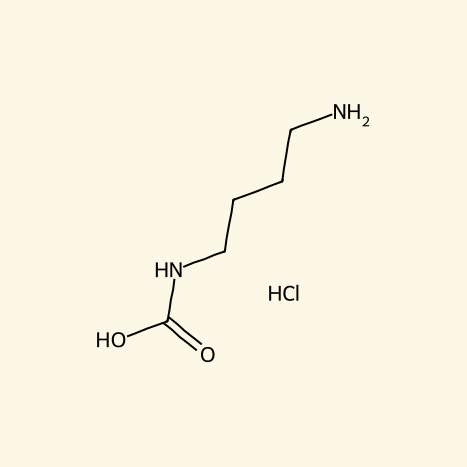 Cl.NCCCCNC(=O)O